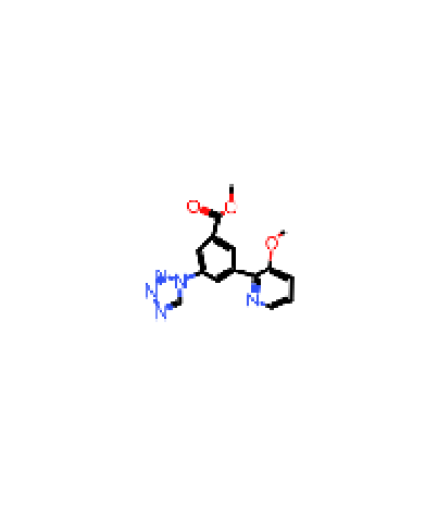 COC(=O)c1cc(-c2ncccc2OC)cc(-n2cnnn2)c1